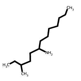 CCCCCCCC(N)CCC(C)CC